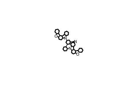 N#Cc1cc(-c2ccccc2-n2c3ccccc3c3c4c(ccc32)oc2ccccc24)cc(-n2c3ccccc3c3c4c(ccc32)oc2ccccc24)c1